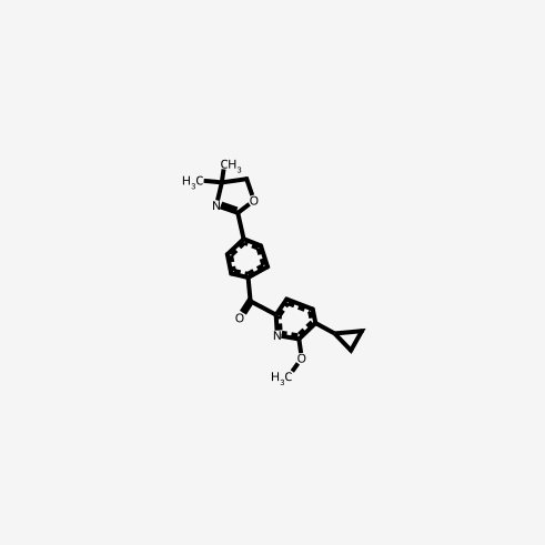 COc1nc(C(=O)c2ccc(C3=NC(C)(C)CO3)cc2)ccc1C1CC1